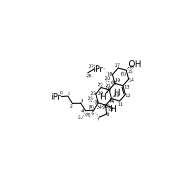 CC(C)CCC[C@@H](C)[C@H]1CC[C@H]2[C@@H]3CC=C4C[C@@H](O)CC[C@]4(C)[C@H]3CC[C@]12C.C[C](C)C